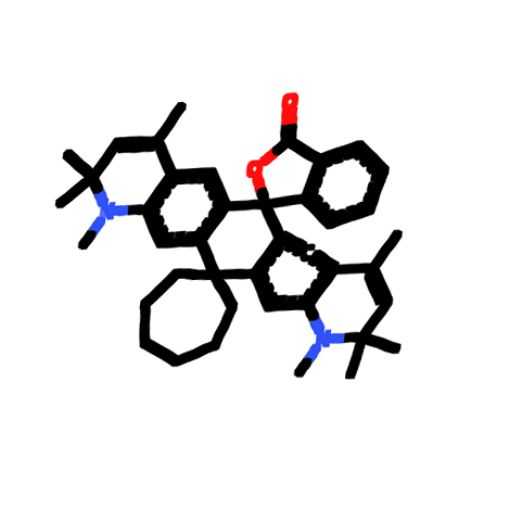 CC1=CC(C)(C)N(C)c2cc3c(cc21)C1(OC(=O)c2ccccc21)c1cc2c(cc1C31CCCCCC1)N(C)C(C)(C)C=C2C